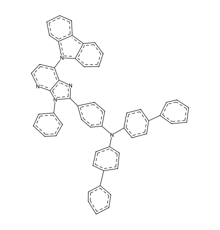 c1ccc(-c2ccc(N(c3ccc(-c4ccccc4)cc3)c3ccc(-c4nc5c(-n6c7ccccc7c7ccccc76)ccnc5n4-c4ccccc4)cc3)cc2)cc1